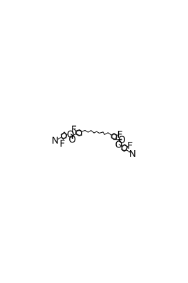 N#Cc1ccc(OC(=O)c2ccc(CCCCCCCCCc3ccc(C(=O)Oc4ccc(C#N)c(F)c4)c(F)c3)cc2F)cc1F